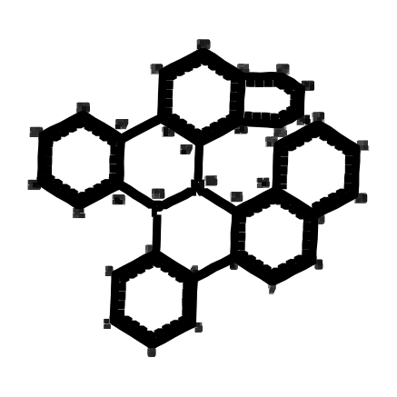 c1ccc2c(c1)-c1ccc3ccccc3c1N1c3c(ccc4ccccc34)-c3ccccc3P21